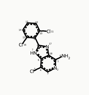 Nc1ncc(Cl)c2[nH]c(-c3c(Cl)cccc3Cl)nc12